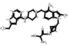 CCCCC(N)C(=O)NC12CC(Cn3c(C#N)cc4c(C)c(CN5CCC(Nc6ncnc7sc(CC(F)(F)F)cc67)CC5)ccc43)(C1)C2